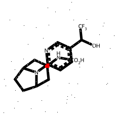 O=C(O)NC1CC2CCC(C1)N2c1ccc(C(O)C(F)(F)F)cn1